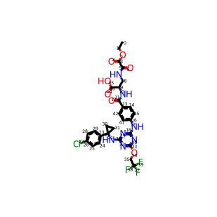 CCOC(=O)C(=O)NCC(NC(=O)c1ccc(Nc2nc(NC3(c4ccc(Cl)cc4)CC3)nc(OCC(F)(F)F)n2)cc1)C(=O)O